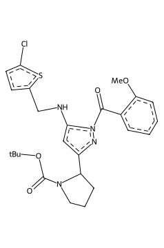 COc1ccccc1C(=O)n1nc(C2CCCN2C(=O)OC(C)(C)C)cc1NCc1ccc(Cl)s1